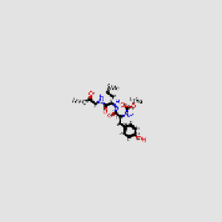 COC(=O)CNC(=O)[C@@H](CCSC)NC(=O)[C@H](Cc1ccc(O)cc1)NC(=O)OC(C)(C)C